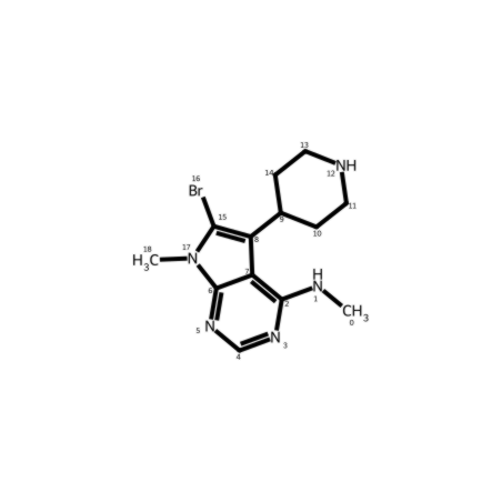 CNc1ncnc2c1c(C1CCNCC1)c(Br)n2C